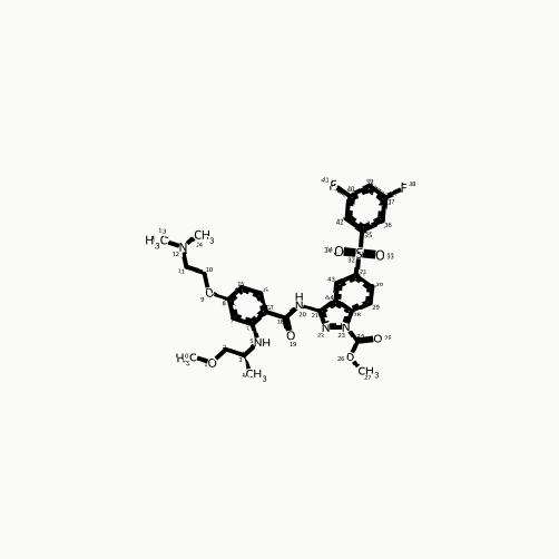 COC[C@H](C)Nc1cc(OCCN(C)C)ccc1C(=O)Nc1nn(C(=O)OC)c2ccc(S(=O)(=O)c3cc(F)cc(F)c3)cc12